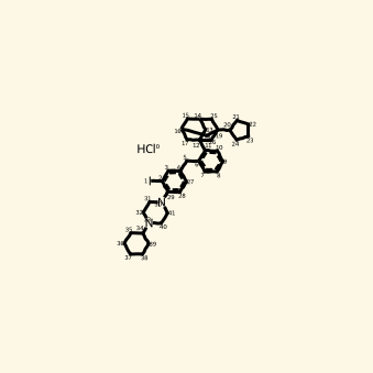 Cl.Ic1cc(Cc2ccccc2C23CC4CC(C2)CC(C2CCCC2)(C4)C3)ccc1N1CCN(C2CCCCC2)CC1